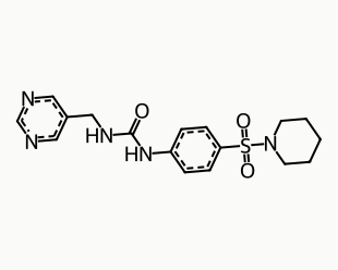 O=C(NCc1cncnc1)Nc1ccc(S(=O)(=O)N2CCCCC2)cc1